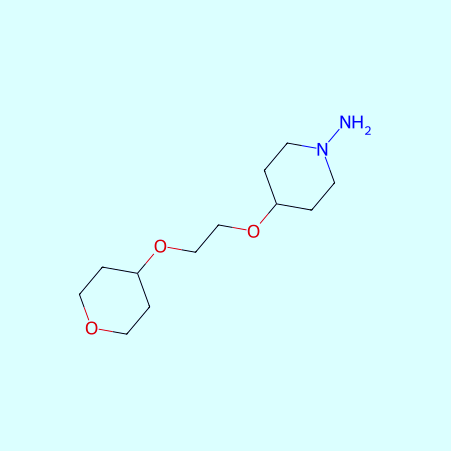 NN1CCC(OCCOC2CCOCC2)CC1